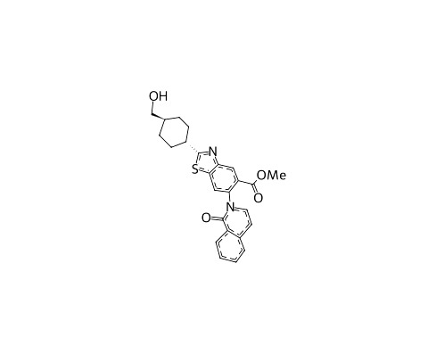 COC(=O)c1cc2nc([C@H]3CC[C@H](CO)CC3)sc2cc1-n1ccc2ccccc2c1=O